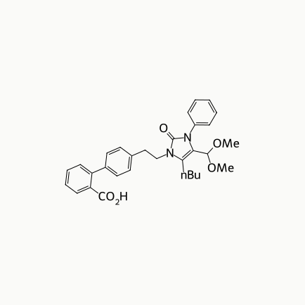 CCCCc1c(C(OC)OC)n(-c2ccccc2)c(=O)n1CCc1ccc(-c2ccccc2C(=O)O)cc1